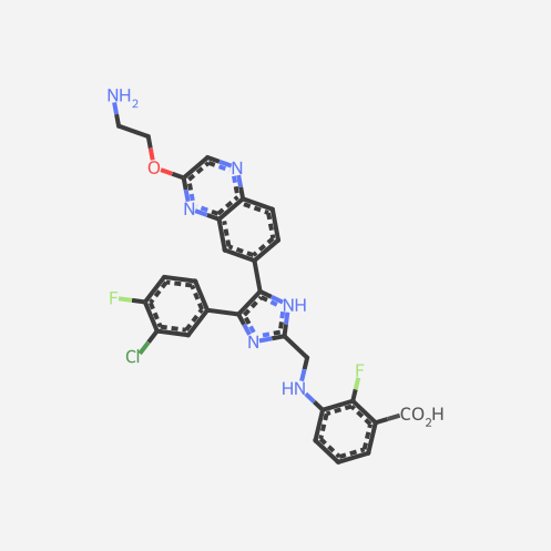 NCCOc1cnc2ccc(-c3[nH]c(CNc4cccc(C(=O)O)c4F)nc3-c3ccc(F)c(Cl)c3)cc2n1